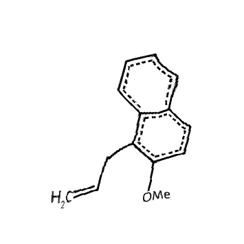 C=CCc1c(OC)ccc2ccccc12